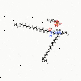 CCCCCCCC/C=C/CCCCCCCC(=O)NCC[N+]1=C(CCCCCCC/C=C/CCCCCCCC)N(CC)CC1.CCOS(=O)(=O)[O-]